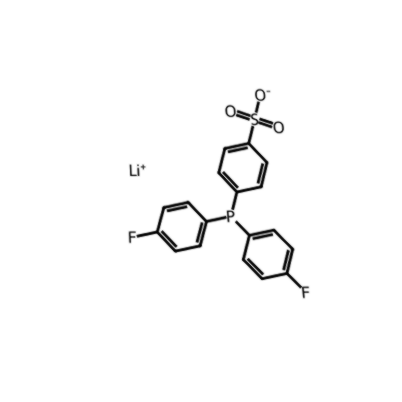 O=S(=O)([O-])c1ccc(P(c2ccc(F)cc2)c2ccc(F)cc2)cc1.[Li+]